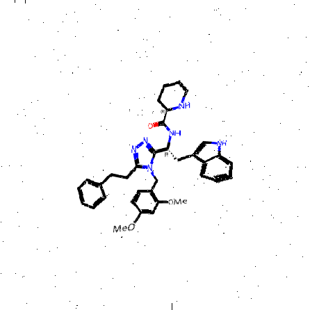 COc1ccc(Cn2c(CCc3ccccc3)nnc2[C@@H](Cc2c[nH]c3ccccc23)NC(=O)[C@H]2CCCCN2)c(OC)c1